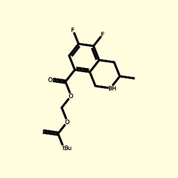 C=C(OCOC(=O)c1cc(F)c(F)c2c1CBC(C)C2)C(C)(C)C